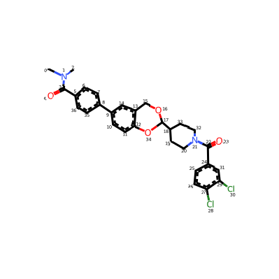 CN(C)C(=O)c1ccc(-c2ccc3c(c2)COC(C2CCN(C(=O)c4ccc(Cl)c(Cl)c4)CC2)O3)cc1